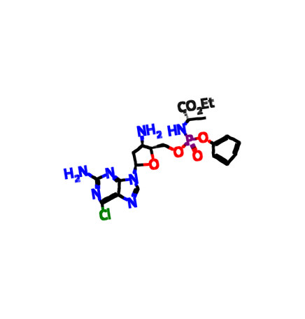 CCOC(=O)[C@H](C)NP(=O)(OC[C@H]1O[C@@H](n2cnc3c(Cl)nc(N)nc32)C[C@H]1N)Oc1ccccc1